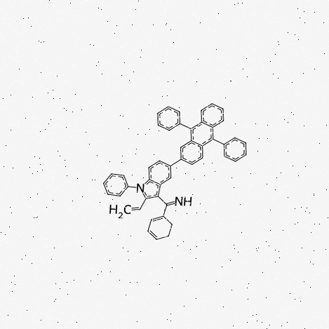 C=Cc1c(C(=N)C2=CC=CCC2)c2cc(-c3ccc4c(-c5ccccc5)c5ccccc5c(-c5ccccc5)c4c3)ccc2n1-c1ccccc1